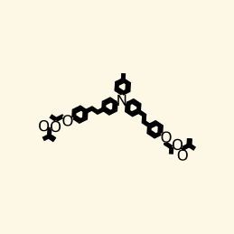 C=C(C)C(=O)OC(C)COc1ccc(CCc2ccc(N(c3ccc(C)cc3)c3ccc(CCc4ccc(OCC(C)OC(=O)C(=C)C)cc4)cc3)cc2)cc1